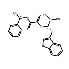 C[C@@H](NC(=O)C(=O)N[C@@H](Cc1coc2ccccc12)B(O)O)c1ccccn1